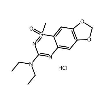 CCN(CC)C1=Nc2cc3c(cc2S(C)(=O)=N1)OCO3.Cl